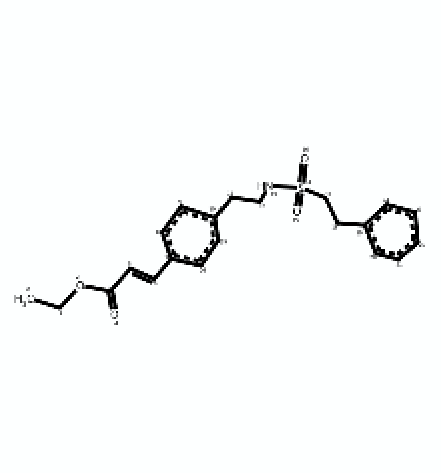 CCOC(=O)/C=C/c1ccc(CCNS(=O)(=O)CCc2ccccc2)cc1